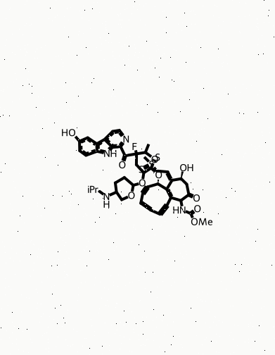 COC(=O)NC1C(=O)C[C@H](O)/C(=C/CS(C)(=S)=S)C2=C1C#C/C=C\C#C[C@@H]2OC1OC(C)C(F)(C(=O)c2nccc3c2[nH]c2ccc(O)cc23)CC1OC1CCC(NC(C)C)CO1